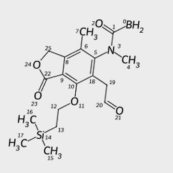 BC(=O)N(C)c1c(C)c2c(c(OCC[Si](C)(C)C)c1CC=O)C(=O)OC2